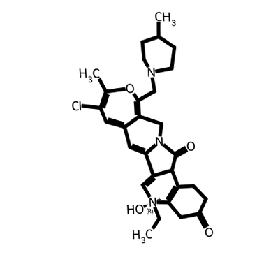 CC[N@@+]1(O)C=C2C3=CC4=CC(Cl)=C(C)OC(CN5CCC(C)CC5)=C4CN3C(=O)C2C2=C1CC(=O)CC2